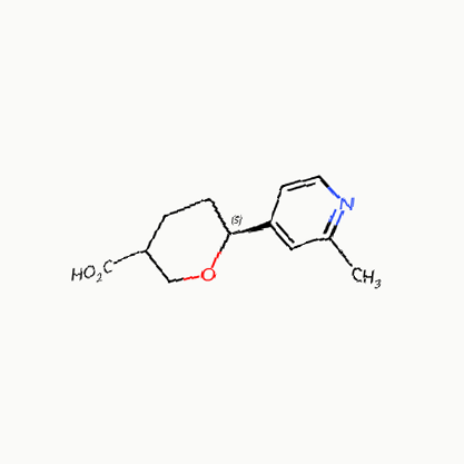 Cc1cc([C@@H]2CCC(C(=O)O)CO2)ccn1